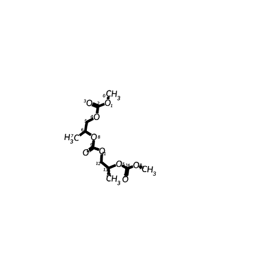 COC(=O)OCC(C)OC(=O)OCC(C)OC(=O)OC